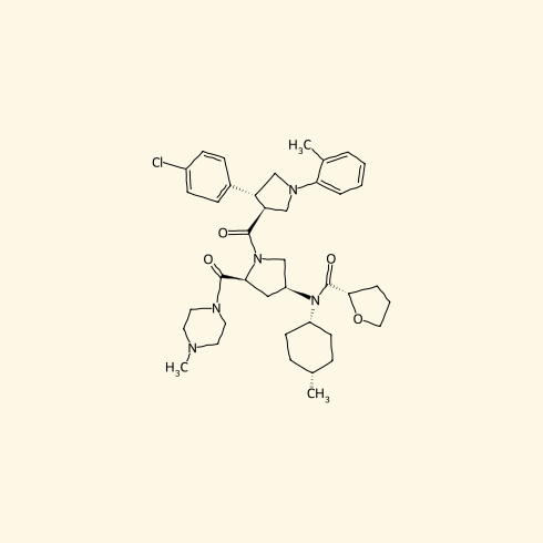 Cc1ccccc1N1C[C@@H](C(=O)N2C[C@@H](N(C(=O)[C@@H]3CCCO3)[C@H]3CC[C@@H](C)CC3)C[C@H]2C(=O)N2CCN(C)CC2)[C@H](c2ccc(Cl)cc2)C1